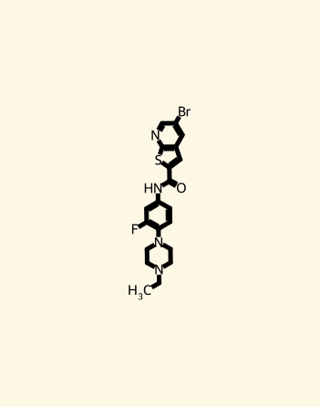 CCN1CCN(c2ccc(NC(=O)c3cc4cc(Br)cnc4s3)cc2F)CC1